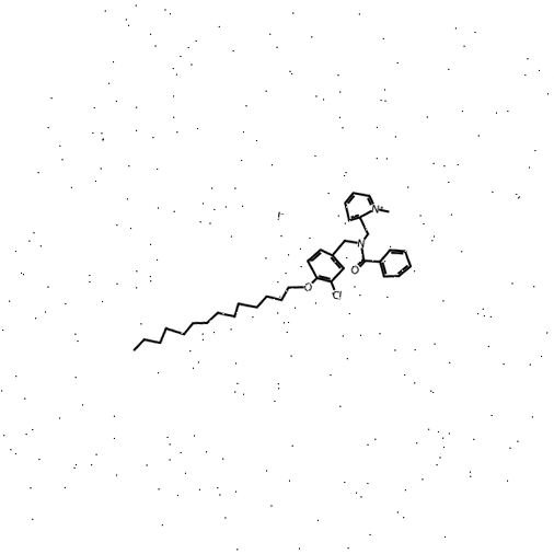 CCCCCCCCCCCCCCOc1ccc(CN(Cc2cccc[n+]2C)C(=O)c2ccccc2)cc1Cl.[I-]